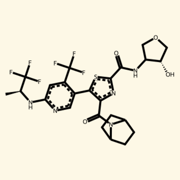 C[C@H](Nc1cc(C(F)(F)F)c(-c2sc(C(=O)NC3COC[C@@H]3O)nc2C(=O)N2C3CCC2CC3)cn1)C(F)(F)F